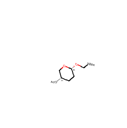 CNCO[C@@H]1CC[C@H](OC(C)=O)CO1